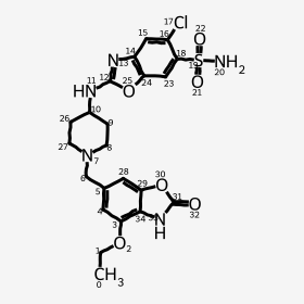 CCOc1cc(CN2CCC(Nc3nc4cc(Cl)c(S(N)(=O)=O)cc4o3)CC2)cc2oc(=O)[nH]c12